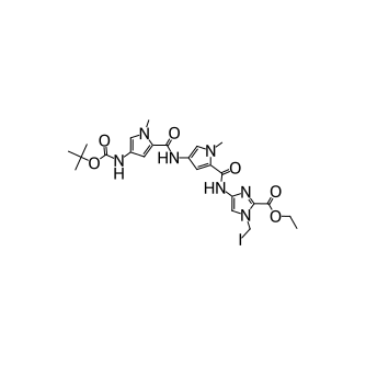 CCOC(=O)c1nc(NC(=O)c2cc(NC(=O)c3cc(NC(=O)OC(C)(C)C)cn3C)cn2C)cn1CI